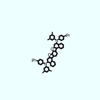 Cc1cc(C)cc(N(c2ccc(C(C)C)cc2)c2cc3oc4c(ccc5c4oc4cc(N(c6ccc(C(C)C)cc6)c6cc(C)cc(C)c6)c6ccccc6c45)c3c3ccccc23)c1